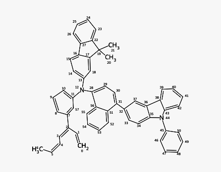 C=C/C(=C\C=C/C)c1cccc(N(c2ccc3c(c2)C(C)(C)c2ccccc2-3)c2ccc(-c3ccc4c(c3)c3ccccc3n4-c3ccccc3)c3ccccc23)c1